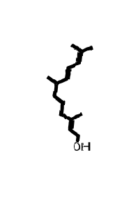 CC(C)=CC=CC(C)CCC/C(C)=C/CO